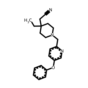 CCC1(CC#N)CCN(Cc2ccc(Oc3ccccc3)cn2)CC1